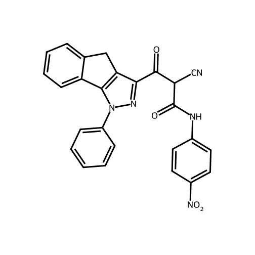 N#CC(C(=O)Nc1ccc([N+](=O)[O-])cc1)C(=O)c1nn(-c2ccccc2)c2c1Cc1ccccc1-2